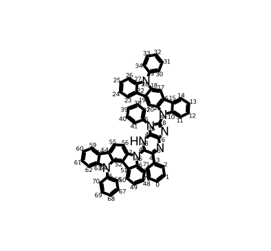 c1ccc(C2=Nc3nc(-n4c5ccccc5c5cc6c(cc54)c4ccccc4n6-c4ccccc4)n(-c4ccccc4)c3NC2n2c3ccccc3c3c4c(ccc32)c2ccccc2n4-c2ccccc2)cc1